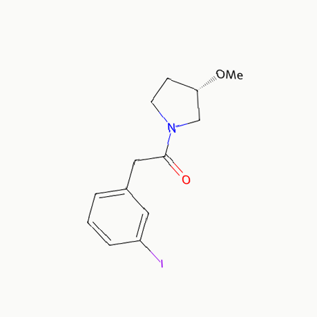 CO[C@H]1CCN(C(=O)Cc2cccc(I)c2)C1